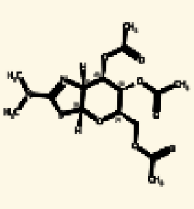 CC(=O)OC[C@H]1O[C@@H]2SC(N(C)C)=N[C@@H]2[C@@H](OC(C)=O)[C@@H]1OC(C)=O